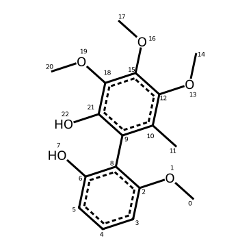 COc1cccc(O)c1-c1c(C)c(OC)c(OC)c(OC)c1O